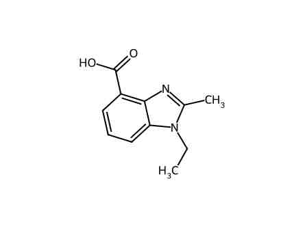 CCn1c(C)nc2c(C(=O)O)cccc21